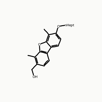 CCCCCCCOc1ccc2c(oc3c(C)c(CO)ccc32)c1C